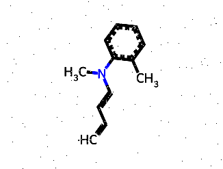 [CH]=CC=CN(C)c1ccccc1C